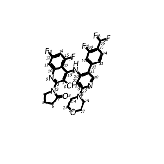 Cc1c(N2CCCC2=O)nc2cc(F)cc(F)c2c1Nc1cc(N2CCOCC2)ncc1-c1ccc(C(F)F)c(F)c1